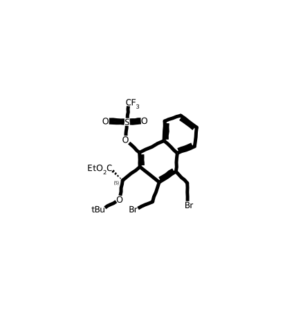 CCOC(=O)[C@@H](OC(C)(C)C)c1c(CBr)c(CBr)c2ccccc2c1OS(=O)(=O)C(F)(F)F